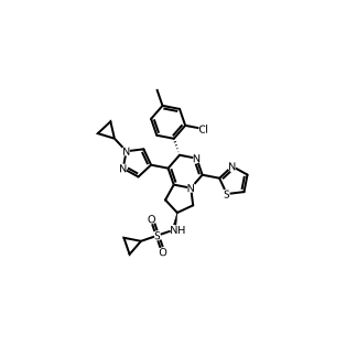 Cc1ccc([C@@H]2N=C(c3nccs3)N3C[C@@H](NS(=O)(=O)C4CC4)CC3=C2c2cnn(C3CC3)c2)c(Cl)c1